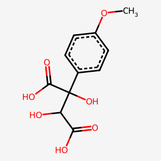 COc1ccc(C(O)(C(=O)O)C(O)C(=O)O)cc1